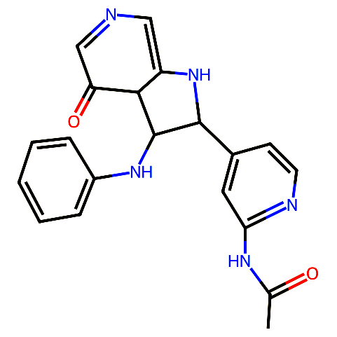 CC(=O)Nc1cc(C2NC3=CN=CC(=O)C3C2Nc2ccccc2)ccn1